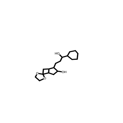 OC(CCC1C(O)CC2C1CC21OCCO1)C1CCCCC1